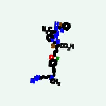 Cc1c(Nc2nc3ccccc3s2)nnc2c1CCCN2c1nc(C(=O)O)c(CCCOc2ccc(C#CCN(C)CCCCN=[N+]=[N-])cc2F)s1